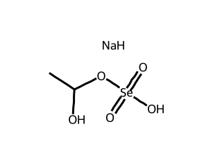 CC(O)O[Se](=O)(=O)O.[NaH]